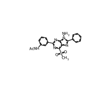 CC(=O)Nc1cccc(-c2nc(S(C)(=O)=O)c3nc(-c4ccccc4)n(N)c3n2)c1